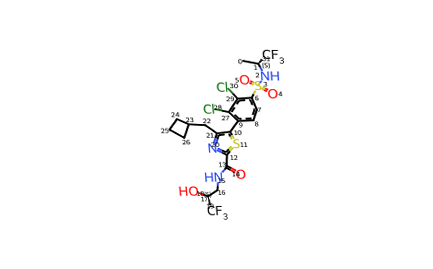 C[C@H](NS(=O)(=O)c1ccc(-c2sc(C(=O)NC[C@H](O)C(F)(F)F)nc2CC2CCC2)c(Cl)c1Cl)C(F)(F)F